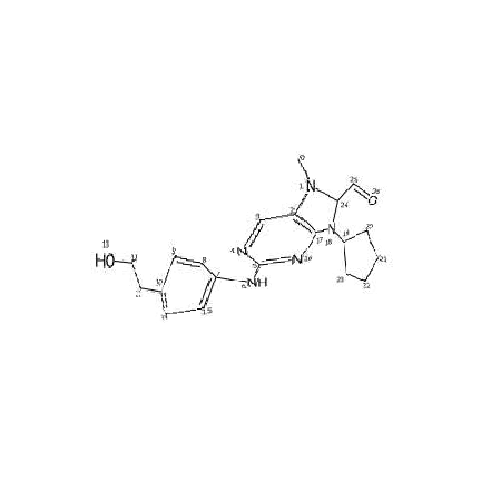 CN1c2cnc(Nc3ccc(CCO)cc3)nc2N(C2CCCC2)C1C=O